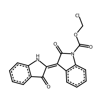 O=C1/C(=C2/C(=O)N(C(=O)OCCl)c3ccccc32)Nc2ccccc21